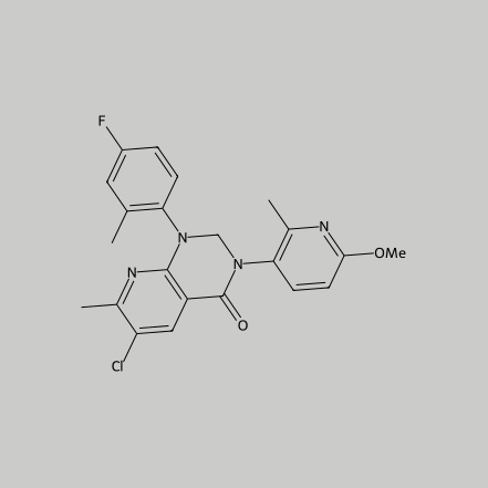 COc1ccc(N2CN(c3ccc(F)cc3C)c3nc(C)c(Cl)cc3C2=O)c(C)n1